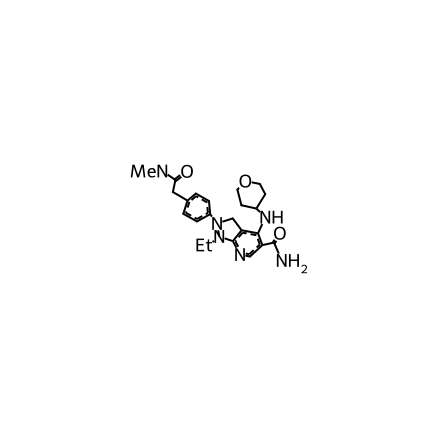 CCN1c2ncc(C(N)=O)c(NC3CCOCC3)c2CN1c1ccc(CC(=O)NC)cc1